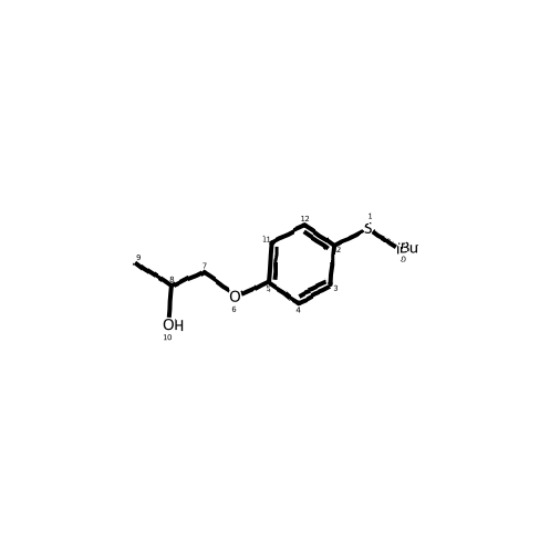 CCC(C)Sc1ccc(OCC(C)O)cc1